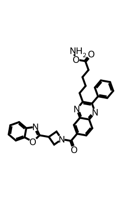 NOC(=O)CCCCc1nc2cc(C(=O)N3CC(c4nc5ccccc5o4)C3)ccc2nc1-c1ccccc1